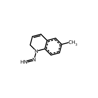 Cc1ccc2c(c1)C=CCN2N=N